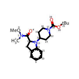 CON(C)C(=O)C1Cc2ccccc2N1C1CCN(C(=O)OC(C)(C)C)CC1